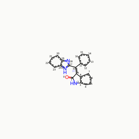 O=C1Nc2ccccc2/C1=C(\c1ccccc1)c1nc2ccccc2[nH]1